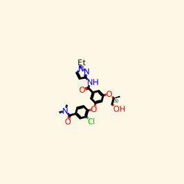 CCn1ccc(NC(=O)c2cc(Oc3ccc(C(=O)N(C)C)cc3Cl)cc(O[C@@H](C)CO)c2)n1